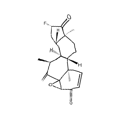 C=C1[C@@H](C)[C@H]2[C@@H]3C[C@H](F)C(=O)[C@@]3(C)CC[C@@H]2[C@@]2(C)C=CC(=O)C3OC132